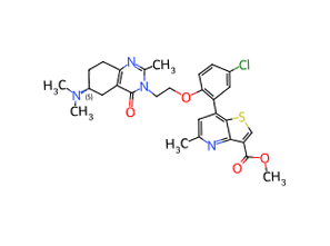 COC(=O)c1csc2c(-c3cc(Cl)ccc3OCCn3c(C)nc4c(c3=O)C[C@@H](N(C)C)CC4)cc(C)nc12